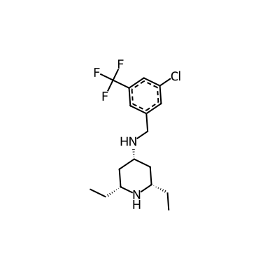 CC[C@@H]1C[C@H](NCc2cc(Cl)cc(C(F)(F)F)c2)C[C@H](CC)N1